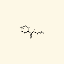 O=C(OCC(Cl)(Cl)Cl)C1CCNCC1